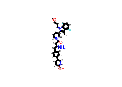 COCCCn1c([C@@H]2CCCN(C(=O)C[C@H](N)Cc3ccc(-c4ccc(O)nc4)cc3)C2)c(C)c2c(F)ccc(F)c21